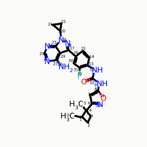 CC1CCC1(C)c1cc(NC(=O)Nc2ccc(-c3nn(C4CC4)c4ncnc(N)c34)cc2F)on1